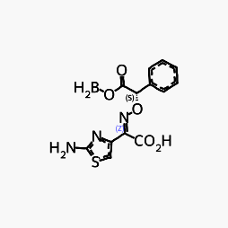 BOC(=O)[C@@H](O/N=C(\C(=O)O)c1csc(N)n1)c1ccccc1